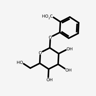 O=C(O)c1ccccc1OC1OC(CO)C(O)C(O)C1O